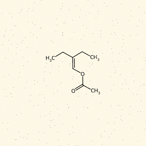 CCC(=COC(C)=O)CC